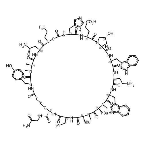 CCCC[C@H]1C(=O)N(C)[C@@H](CCCC)C(=O)N[C@@H](CC(C)C)C(=O)N[C@H](C(=O)NCC(N)=O)CSCC(=O)N[C@@H](Cc2ccc(O)cc2)C(=O)N(C)[C@@H](C)C(=O)N[C@@H](CC(N)=O)C(=O)N(CCC(F)(F)F)CC(=O)N[C@@H](Cc2cnc[nH]2)C(=O)N[C@@H](CCC(=O)O)C(=O)N2C[C@H](O)C[C@H]2C(=O)N[C@@H](Cc2c[nH]c3ccccc23)C(=O)N[C@@H](CCN)C(=O)N[C@@H](Cc2c[nH]c3ccccc23)C(=O)N1C